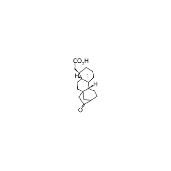 C[C@@]12CCC[C@H](CC(=O)O)[C@H]1CCC13CC(=O)C(CC[C@H]12)C3